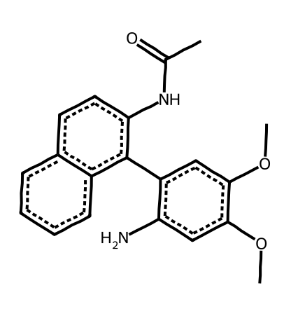 COc1cc(N)c(-c2c(NC(C)=O)ccc3ccccc23)cc1OC